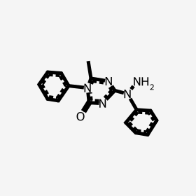 Cc1nc(N(N)c2ccccc2)nc(=O)n1-c1ccccc1